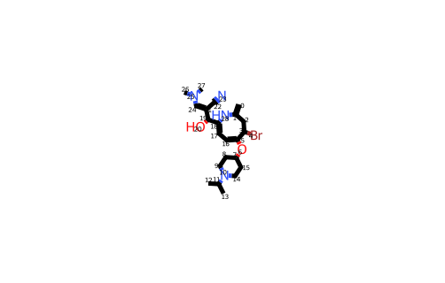 C=C1CC(Br)/C(OC2CCN(C(C)C)CC2)=C\C=C(\C(O)/C(C#N)=C/N(C)C)N1